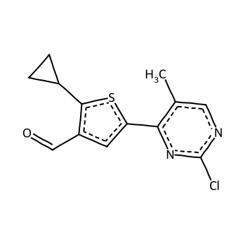 Cc1cnc(Cl)nc1-c1cc(C=O)c(C2CC2)s1